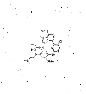 C=CC(O)Nc1cc(Nc2ncc(Cl)c(-c3cnc(OC)c4c3ccn4C)n2)c(OC)cc1N(C)CCN(C)C